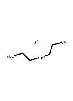 CC[CH2][Sn+2][CH2]CC.[S-2]